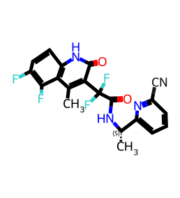 Cc1c(C(F)(F)C(=O)N[C@@H](C)c2cccc(C#N)n2)c(=O)[nH]c2ccc(F)c(F)c12